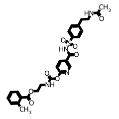 CC(=O)NCCc1ccc(S(=O)(=O)NC(=O)c2ccc(OC(=O)NCCOC(=O)c3ccccc3C)nc2)cc1